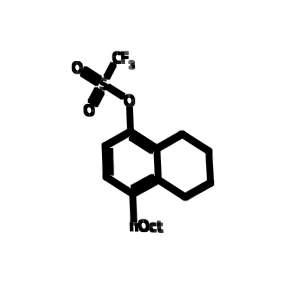 CCCCCCCCc1ccc(OS(=O)(=O)C(F)(F)F)c2c1CCCC2